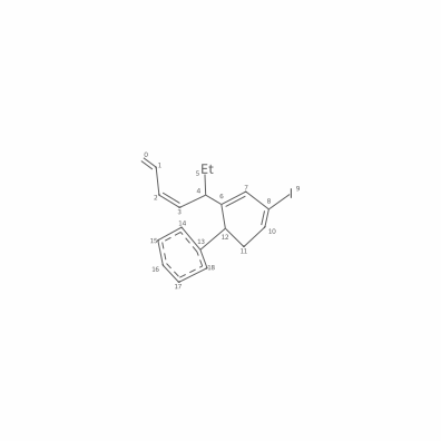 C=C/C=C\C(CC)C1=CC(I)=CCC1c1ccccc1